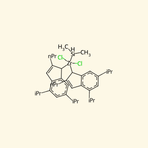 CCCC1=Cc2c(C(C)C)cc(C(C)C)cc2[CH]1[Zr]([Cl])([Cl])([CH]1C(CCC)=Cc2c(C(C)C)cc(C(C)C)cc21)[SiH](C)C